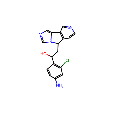 Nc1ccc(C(O)CC2c3ccncc3-c3cncn32)c(Cl)c1